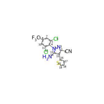 N#Cc1nn(-c2c(Cl)cc(C(F)(F)F)cc2Cl)c(N)c1-c1cccs1